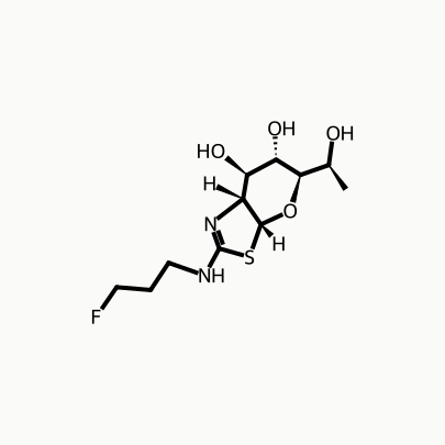 C[C@H](O)[C@H]1O[C@@H]2SC(NCCCF)=N[C@@H]2[C@@H](O)[C@@H]1O